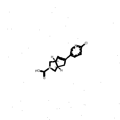 O=C(O)N1C[C@H]2CC(c3ccc(Cl)nc3)=C[C@H]2C1